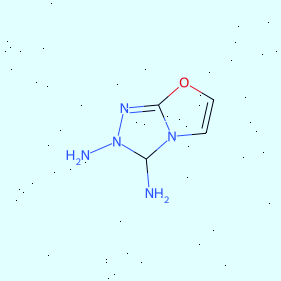 NC1N(N)N=C2OC=CN21